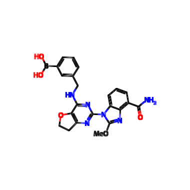 COc1nc2c(C(N)=O)cccc2n1-c1nc2c(c(NCc3cccc(B(O)O)c3)n1)OCC2